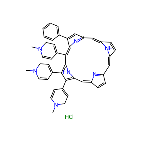 CN1C=CC(c2c(C3=CCN(C)C=C3)c3[nH]c2cc2nc(cc4ccc(cc5nc(c3C3=CCN(C)C=C3)C(c3ccccc3)=C5)[nH]4)C=C2)=CC1.Cl